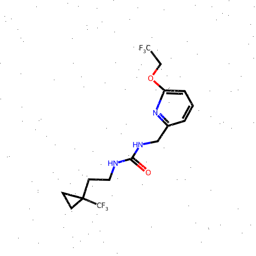 O=C(NCCC1(C(F)(F)F)CC1)NCc1cccc(OCC(F)(F)F)n1